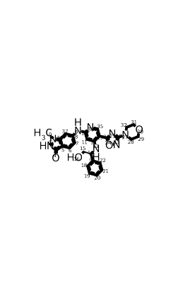 Cn1[nH]c(=O)c2ccc(Nc3cc(N[C@H](CO)c4ccccc4)c(-c4nc(N5CCOCC5)no4)cn3)cc21